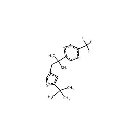 CC(C)(C)c1c[n+](CC(C)(C)c2cnc(C(F)(F)F)nc2)cs1